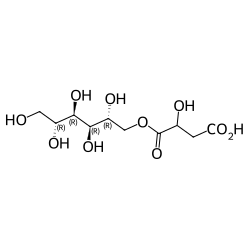 O=C(O)CC(O)C(=O)OC[C@@H](O)[C@@H](O)[C@H](O)[C@H](O)CO